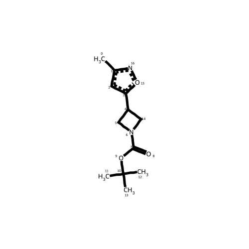 Cc1cc(C2CN(C(=O)OC(C)(C)C)C2)on1